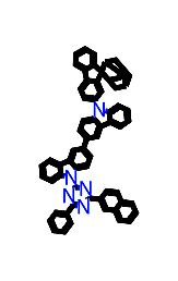 c1ccc(-c2nc(-c3ccc4ccccc4c3)nc(-n3c4ccccc4c4cc(-c5ccc6c(c5)c5ccccc5n6-c5ccc6c(c5)C5(c7ccccc7-6)C6CC7CC(C6)CC5C7)ccc43)n2)cc1